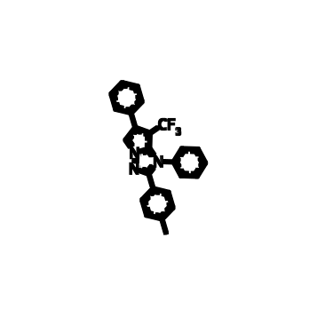 Cc1ccc(-c2nn3cc(-c4ccccc4)c(C(F)(F)F)c3n2-c2ccccc2)cc1